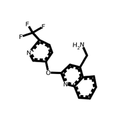 NCc1cc(Oc2ccc(C(F)(F)F)nc2)nc2ccccc12